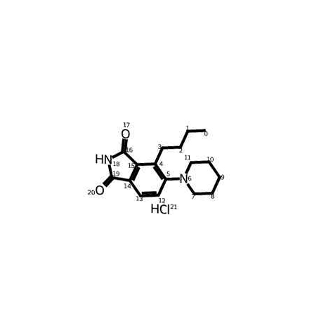 CCCCc1c(N2CCCCC2)ccc2c1C(=O)NC2=O.Cl